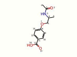 CC(=O)NC(C)COc1ccc(C(=O)O)cc1